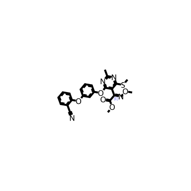 CO/N=C(/C(=O)OC)c1c(Oc2cccc(Oc3ccccc3C#N)c2)nc(C)nc1SC